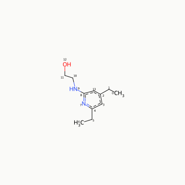 CCc1cc(CC)nc(NCCO)c1